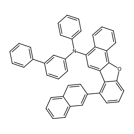 c1ccc(-c2cccc(N(c3ccccc3)c3cc4c(oc5cccc(-c6ccc7ccccc7c6)c54)c4ccccc34)c2)cc1